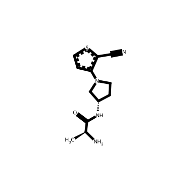 C[C@H](N)C(=O)N[C@H]1CCN(c2ccsc2C#N)C1